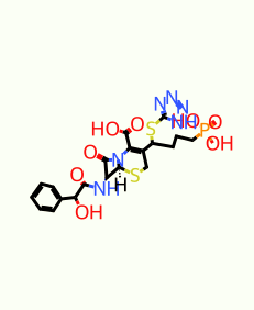 O=C(O)C1=C(C(CCCP(=O)(O)O)Sc2nnn[nH]2)CS[C@H]2[C@H](NC(=O)C(O)c3ccccc3)C(=O)N12